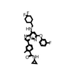 Cc1cc(-c2cnc3c(NCC4CCC(F)(F)CC4)cc(Oc4cccc(F)c4)nn23)ccc1C(=O)NC1CC1